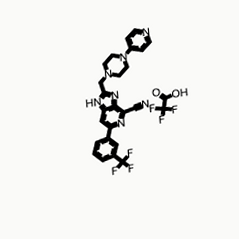 N#Cc1nc(-c2cccc(C(F)(F)F)c2)cc2[nH]c(CN3CCN(c4ccncc4)CC3)nc12.O=C(O)C(F)(F)F